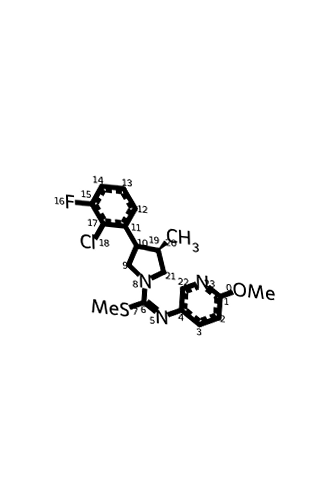 COc1ccc(/N=C(/SC)N2CC(c3cccc(F)c3Cl)[C@@H](C)C2)cn1